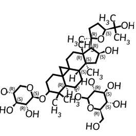 CC(C)(O)[C@@H]1CC[C@](C)([C@H]2[C@@H](O)C[C@@]3(C)[C@@H]4C[C@H](OC5O[C@H](CO)[C@@H](O)[C@H](O)[C@H]5O)[C@H]5C(C)(C)C(O[C@@H]6OC[C@@H](O)[C@H](O)[C@H]6O)CCC56CC46CC[C@]23C)O1